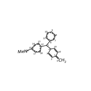 C=C1C=CC(C(c2ccccc2)c2ccc(NC)cc2)C=C1